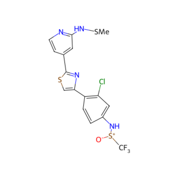 CSNc1cc(-c2nc(-c3ccc(N[S+]([O-])C(F)(F)F)cc3Cl)cs2)ccn1